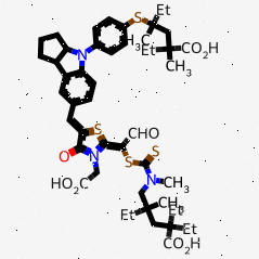 CCC(C)(CN(C)C(=S)S/C(C=O)=c1/s/c(=C\c2ccc3c(c2)C2CCCC2N3c2ccc(SC(C)(CC)CC(C)(CC)C(=O)O)cc2)c(=O)n1CC(=O)O)CC(CC)(CC)C(=O)O